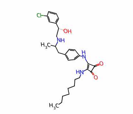 CCCCCCCCNc1c(Nc2ccc(CC(C)NC[C@@H](O)c3cccc(Cl)c3)cc2)c(=O)c1=O